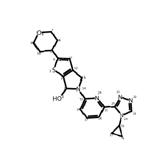 OC1c2sc(C3CCOCC3)cc2CN1c1cccc(-c2nncn2C2CC2)n1